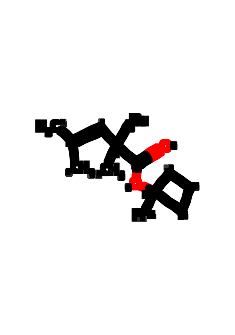 CCC(C)C(C)(C=C(C)C)C(=O)OC1(CC)CCC1